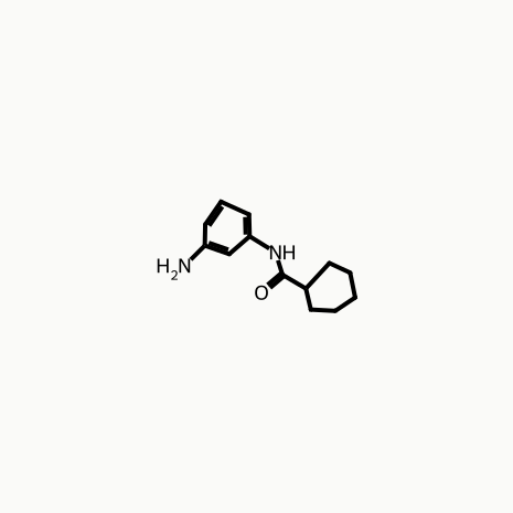 Nc1cccc(NC(=O)C2CCCCC2)c1